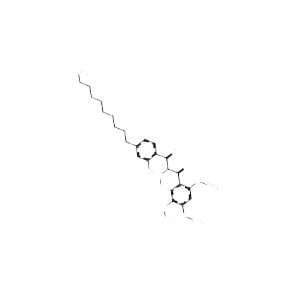 CCCCCCCCCCc1ccc(C(=O)C(OC)C(=O)c2cc(OC)c(OC)cc2OC)c(O)c1